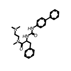 CN(C)CCN(C)C(=O)C(Cc1ccccc1)NC(=O)Nc1ccc(-c2ccccc2)cc1